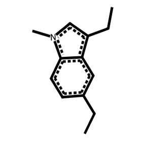 CCc1ccc2c(c1)c(CC)cn2C